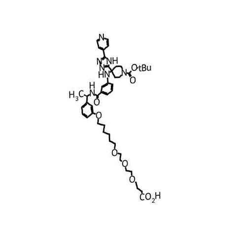 C[C@@H](NC(=O)c1cccc(NC2(c3nnc(-c4ccncc4)[nH]3)CCN(C(=O)OC(C)(C)C)CC2)c1)c1cccc(OCCCCCCOCCOCCOCCCC(=O)O)c1